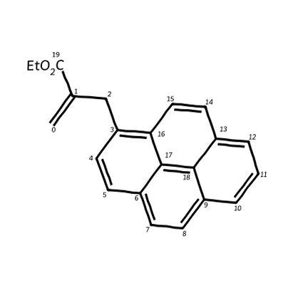 C=C(Cc1ccc2ccc3cccc4ccc1c2c34)C(=O)OCC